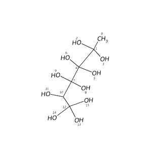 CC(O)(O)C(O)(O)C(O)(O)[C](O)C(O)(O)O